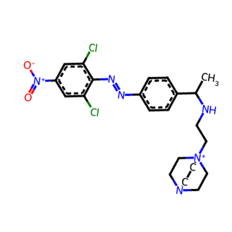 CC(NCC[N+]12CCN(CC1)CC2)c1ccc(N=Nc2c(Cl)cc([N+](=O)[O-])cc2Cl)cc1